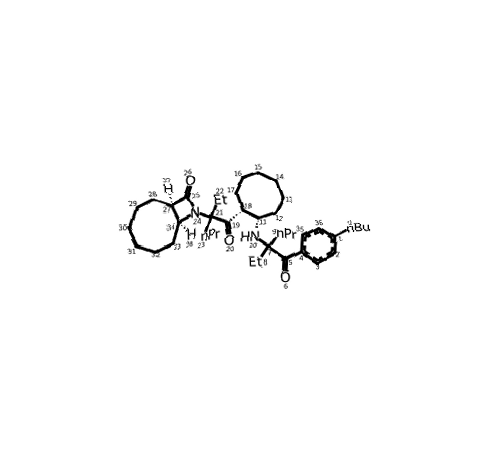 CCCCc1ccc(C(=O)C(CC)(CCC)N[C@H]2CCCCCC[C@H]2C(=O)C(CC)(CCC)N2C(=O)[C@@H]3CCCCCC[C@@H]32)cc1